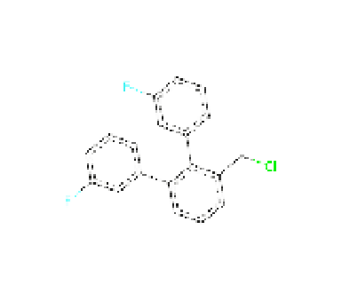 Fc1cccc(-c2cccc(CCl)c2-c2cccc(F)c2)c1